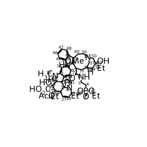 CCOP(=O)(CCNC(=O)[C@]1(C2C=C3C(=CC2OC)N(C)[C@H]2[C@@](O)(C(=O)O)[C@H](OC(C)=O)[C@]4(CC)C=CCN5CC[C@]32[C@@H]54)C[C@H]2CN(CCc3c1[nH]c1ccccc31)C[C@](O)(CC)C2)OCC